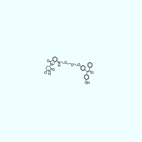 CC/C(=C(\c1ccc(O)cc1)c1ccc(OCCOCCOCCNc2cccc3c2CN(C2CCC(=O)NC2=O)C3=O)cc1)c1ccccc1